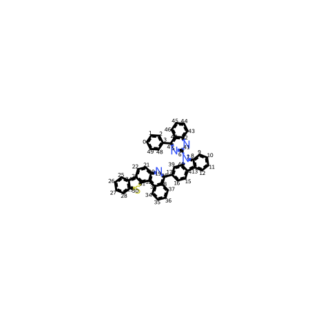 c1ccc(-c2nc(-n3c4ccccc4c4ccc(-c5nc6ccc7c8ccccc8sc7c6c6ccccc56)cc43)nc3ccccc23)cc1